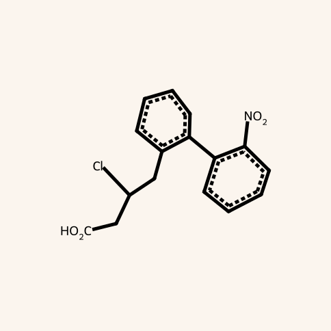 O=C(O)CC(Cl)Cc1ccccc1-c1ccccc1[N+](=O)[O-]